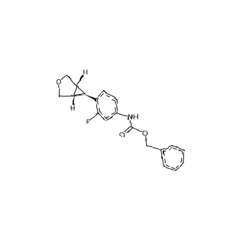 O=C(Nc1ccc([C@H]2[C@@H]3COC[C@@H]32)c(F)c1)OCc1ccccc1